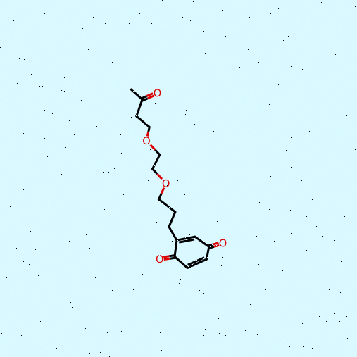 CC(=O)CCOCCOCCCC1=CC(=O)C=CC1=O